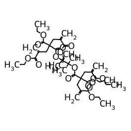 C=C(CC(CC(=C)C(=O)OCC)(C(=O)OCC)C(=O)OC(C)(C)C(C)(C)OC(=O)C(CC(=C)C(=O)OCC)(CC(=C)C(=O)OCC)C(=O)OCC)C(=O)OCC